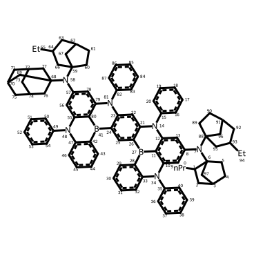 CCCC1CC2CCC1(N(c1cc3c4c(c1)N(c1ccccc1)c1cc5c(cc1B4c1ccccc1N3c1ccccc1)B1c3ccccc3N(c3ccccc3)c3cc(N(C46CCC(CC(CC)C4)C6)C46CC7CC(CC(C7)C4)C6)cc(c31)N5c1ccccc1)C13CCC(CC(CC)C1)C3)C2